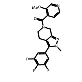 COc1cnccc1C(=O)N1CCc2c(nn(C)c2-c2cc(F)c(F)c(F)c2)C1